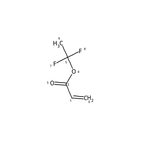 C=CC(=O)OC(C)(F)F